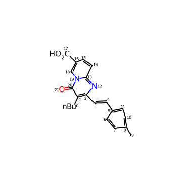 CCCCc1c(C=Cc2ccc(C)cc2)nc2ccc(C(=O)O)cn2c1=O